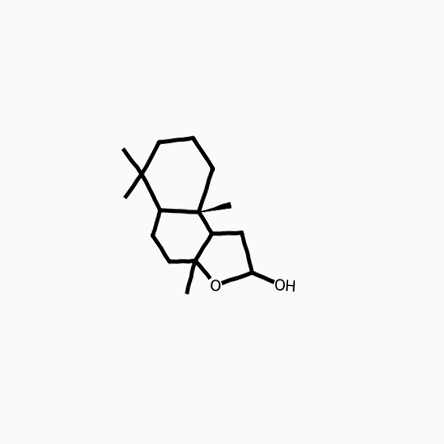 CC1(C)CCC[C@@]2(C)C1CCC1(C)OC(O)CC12